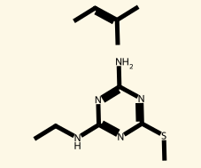 CC=C(C)C.CCNc1nc(N)nc(SC)n1